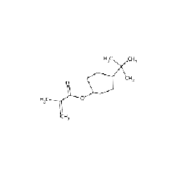 C=C(C)C(=O)OC1CCC(C(C)(C)C)CC1